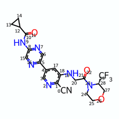 N#Cc1ncc(-c2cnc(NC(=O)C3CC3)cn2)cc1NCC(=O)N1CCOC[C@@H]1C(F)(F)F